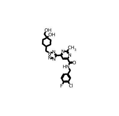 Cc1nc(C(=O)NCc2ccc(F)c(Cl)c2)cc(-c2nnn(CC3CCC(O)(CO)CC3)n2)n1